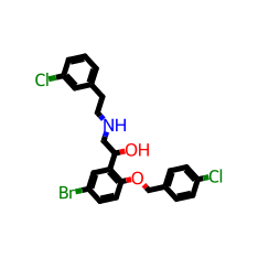 OC(CNCCc1cccc(Cl)c1)c1cc(Br)ccc1OCc1ccc(Cl)cc1